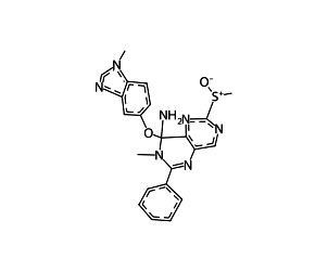 CN1C(c2ccccc2)=Nc2cnc([S+](C)[O-])nc2C1(N)Oc1ccc2c(c1)ncn2C